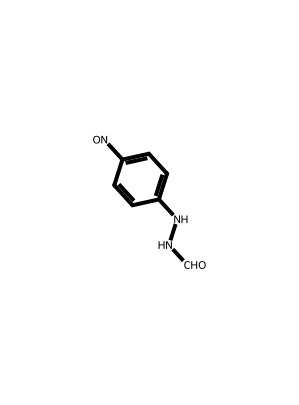 O=CNNc1ccc(N=O)cc1